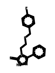 Fc1ccc(CSCCn2c(-c3ccccc3)n[nH]c2=S)cc1